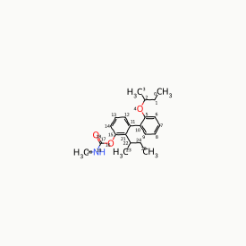 CCC(C)Oc1ccccc1-c1cccc(OC(=O)NC)c1C(C)CC